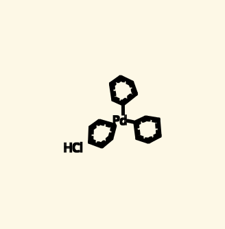 Cl.c1cc[c]([Pd]([c]2ccccc2)[c]2ccccc2)cc1